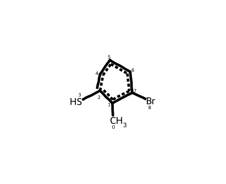 Cc1c(S)cccc1Br